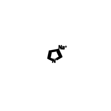 [Na+].c1cc[n-]c1